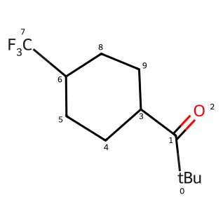 CC(C)(C)C(=O)C1CCC(C(F)(F)F)CC1